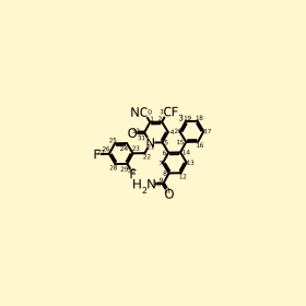 N#Cc1c(C(F)(F)F)cc(-c2cc(C(N)=O)ccc2-c2ccccc2)n(Cc2ccc(F)cc2F)c1=O